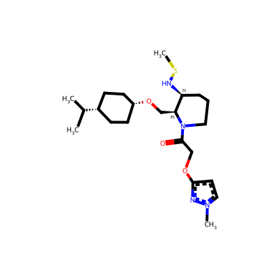 CSN[C@H]1CCCN(C(=O)COc2ccn(C)n2)[C@H]1CO[C@H]1CC[C@@H](C(C)C)CC1